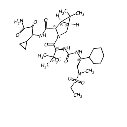 CCS(=O)(=O)N(C)C[C@@H](NC(=O)N[C@H](C(=O)N1C[C@H]2[C@@H]([C@H]1C(=O)NC(C(=O)C(N)=O)C1CC1)C2(C)C)C(C)(C)C)C1CCCCC1